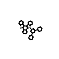 c1ccc(-c2cc(-c3ccccc3)cc(-n3c4ccccc4c4c5c6ccccc6sc5c5ccccc5c43)c2)cc1